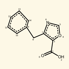 O=C(O)c1ocnc1Cc1ccccc1